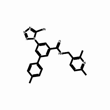 Cc1ccc(-c2cc(C(=O)NCc3ccc(C)nc3C)cc(-n3nnnc3C(C)C)c2)cc1